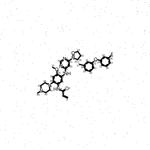 C=CC(=O)Nc1cc(Nc2cc(N3OCC[C@@H]3Cc3cccc(Oc4cccc(F)c4)c3)ncn2)c(OC)cc1N1CCN(C)CC1